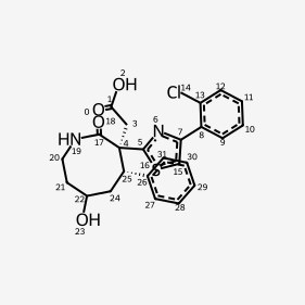 O=C(O)C[C@@]1(c2nc(-c3ccccc3Cl)cs2)C(=O)NCCC(O)C[C@H]1c1ccccc1